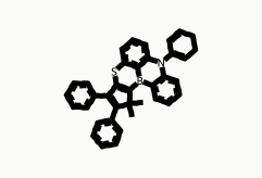 CC1(C)C2=C(Sc3cccc4c3B2c2ccccc2N4C2=CCCC=C2)C(c2ccccc2)=C1c1ccccc1